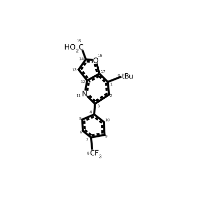 CC(C)(C)c1cc(-c2ccc(C(F)(F)F)cc2)nc2cc(C(=O)O)oc12